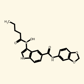 CCCCC(=O)N(O)c1c[nH]c2ccc(C(=O)Nc3ccc4c(c3)OCO4)cc12